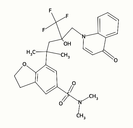 CN(C)S(=O)(=O)c1cc2c(c(C(C)(C)CC(O)(Cn3ccc(=O)c4ccccc43)C(F)(F)F)c1)OCC2